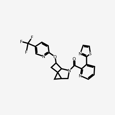 O=C(c1ncccc1-c1nccs1)N1CC2CC23CC(Oc2ccc(C(F)(F)F)cn2)C13